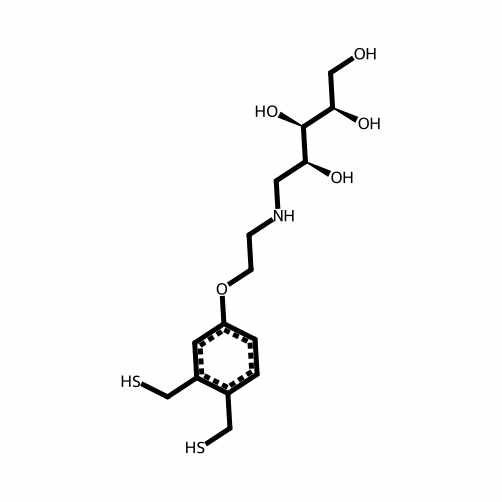 OC[C@@H](O)[C@H](O)[C@@H](O)CNCCOc1ccc(CS)c(CS)c1